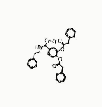 O=CC(NCCc1ccccc1)c1ccc(OC(=O)Cc2ccccc2)c(OC(=O)Cc2ccccc2)c1